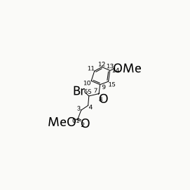 COC(=O)CCC(Br)C(=O)c1cccc(OC)c1